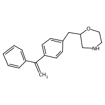 C=C(c1ccccc1)c1ccc(CC2CNCCO2)cc1